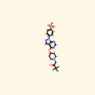 CC(C)(C)C(=O)CN1CCC(Oc2ncnc3c2cnn3-c2ccc(S(C)(=O)=O)cc2)CC1